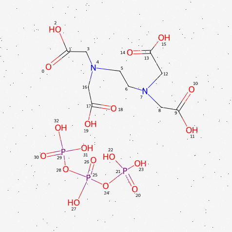 O=C(O)CN(CCN(CC(=O)O)CC(=O)O)CC(=O)O.O=P(O)(O)OP(=O)(O)OP(=O)(O)O